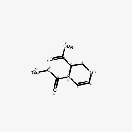 COC(=O)C1COC=CN1C(=O)OC(C)(C)C